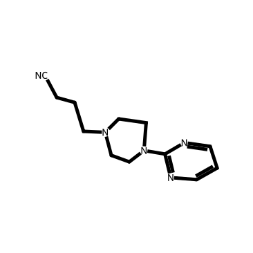 N#CCCCN1CCN(c2ncccn2)CC1